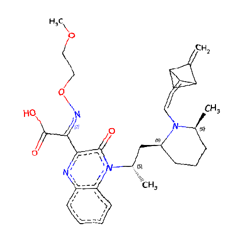 C=C1C2CC1C2=CN1[C@H](C[C@H](C)n2c(=O)c(/C(=N/OCCOC)C(=O)O)nc3ccccc32)CCC[C@@H]1C